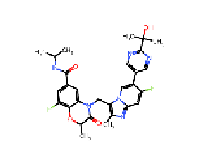 Cc1nc2cc(F)c(-c3cnc(C(C)(C)O)nc3)cn2c1CN1C(=O)C(C)Oc2c(F)cc(C(=O)NC(C)C)cc21